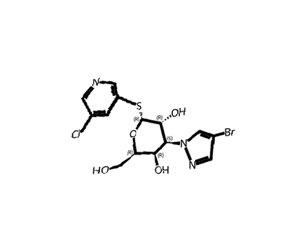 OC[C@H]1O[C@H](Sc2cncc(Cl)c2)[C@H](O)[C@@H](n2cc(Br)cn2)[C@H]1O